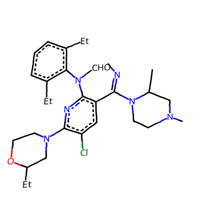 CCc1cccc(CC)c1N(C=O)c1nc(N2CCOC(CC)C2)c(Cl)cc1/C(=N\C)N1CCN(C)CC1C